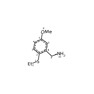 CCSc1ccc(OC)cc1CN